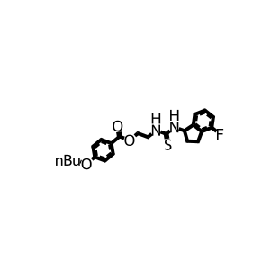 CCCCOc1ccc(C(=O)OCCNC(=S)NC2CCc3c(F)cccc32)cc1